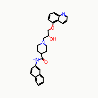 O=C(Nc1ccc2ccccc2c1)C1CCN(C[C@@H](O)COc2cccc3ncccc23)CC1